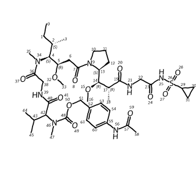 CC[C@H](C)[C@@H]([C@@H](CC(=O)N1CCC[C@H]1[C@H](OC)[C@@H](C)C(=O)NCC(=O)NS(=O)(=O)C1CC1)OC)N(C)C(=O)CNC(=O)C(C(C)C)N(C)C(=O)OCc1ccc(NC(C)=O)cc1